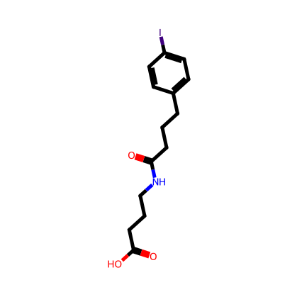 O=C(O)CCCNC(=O)CCCc1ccc(I)cc1